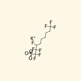 O=S(=O)([O-])C(F)(F)C(F)(F)C(F)CCCCCC(F)(F)F.[K+]